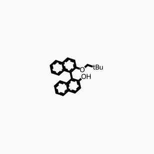 CC(C)(C)COc1ccc2ccccc2c1-c1c(O)ccc2ccccc12